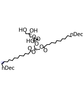 CCCCCCCCCC/C=C\CCCCCCCCCC(=O)O[C@H](COC(=O)CCCCCCCCCCCCCCCCCCCC)COP(=O)(O)OC[C@@H](O)CO